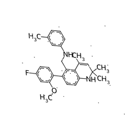 COc1cc(F)ccc1-c1ccc2c(c1CNc1cccc(C)c1)C(C)=CC(C)(C)N2